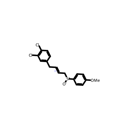 COc1ccc([S+]([O-])C/[C]=C/Cc2ccc(Cl)c(Cl)c2)cc1